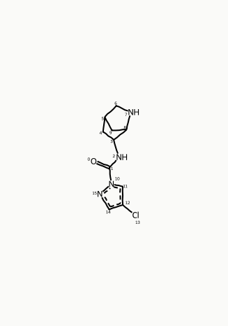 O=C(NC1CC2CNC1C2)n1cc(Cl)cn1